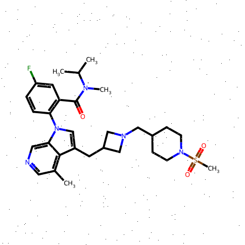 Cc1cncc2c1c(CC1CN(CC3CCN(S(C)(=O)=O)CC3)C1)cn2-c1ccc(F)cc1C(=O)N(C)C(C)C